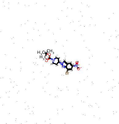 CC(C)(C)OC(=O)N1CCC(n2cc3cc([N+](=O)[O-])cc(Br)c3n2)CC1